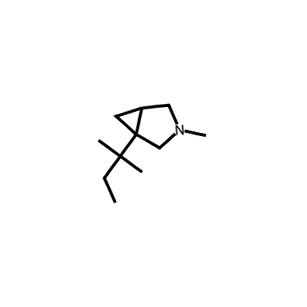 CCC(C)(C)C12CC1CN(C)C2